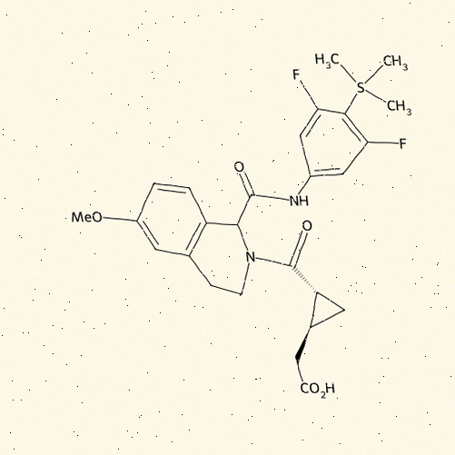 COc1ccc2c(c1)CCN(C(=O)[C@@H]1C[C@H]1CC(=O)O)C2C(=O)Nc1cc(F)c(S(C)(C)C)c(F)c1